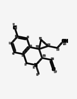 CN1Cc2ccc(Cl)cc2C2(CC2CO)C1C=O